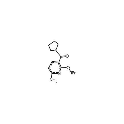 CC(C)Oc1nc(N)ccc1C(=O)N1CCCC1